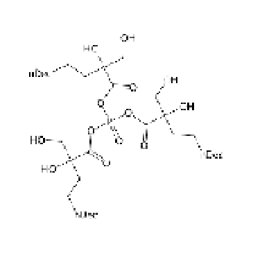 CCCCCCCCCCCCC(O)(CO)C(=O)OP(=O)(OC(=O)C(O)(CO)CCCCCCCCCCCC)OC(=O)C(O)(CO)CCCCCCCCCCCC